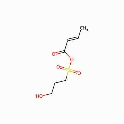 CC=CC(=O)OS(=O)(=O)CCCO